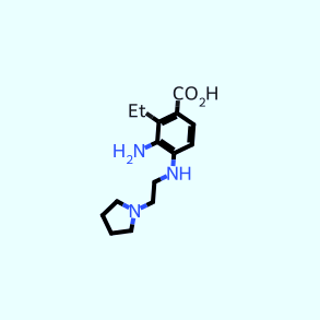 CCc1c(C(=O)O)ccc(NCCN2CCCC2)c1N